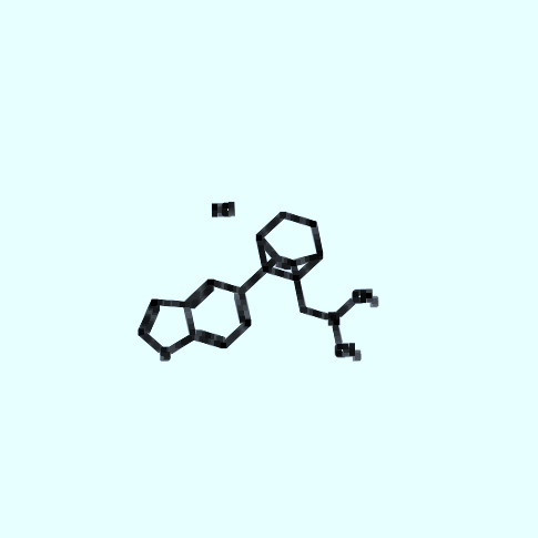 CN(C)CC1=C(c2ccc3sccc3c2)C2CCC1CC2.Cl